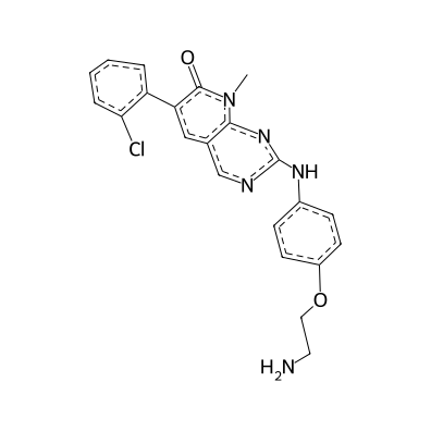 Cn1c(=O)c(-c2ccccc2Cl)cc2cnc(Nc3ccc(OCCN)cc3)nc21